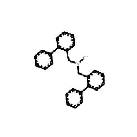 [O-][S+](Cc1ccccc1-c1ccccc1)Cc1ccccc1-c1ccccc1